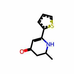 CC1CC(=O)C=C(c2cccs2)N1